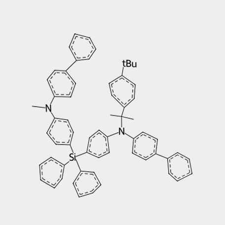 CN(c1ccc(-c2ccccc2)cc1)c1ccc([Si](c2ccccc2)(c2ccccc2)c2ccc(N(c3ccc(-c4ccccc4)cc3)C(C)(C)c3ccc(C(C)(C)C)cc3)cc2)cc1